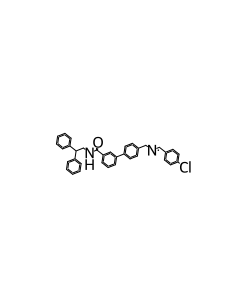 O=C(NCC(c1ccccc1)c1ccccc1)c1cccc(-c2ccc(C[N]Cc3ccc(Cl)cc3)cc2)c1